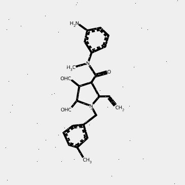 C=CC1C(C(=O)N(C)c2cccc(N)c2)C(C=O)C(C=O)N1Cc1cccc(C)c1